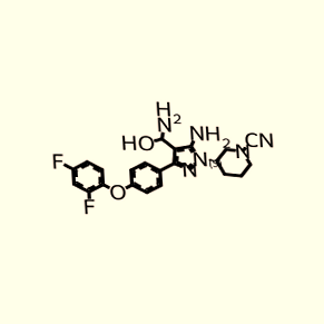 N#CN1CCC[C@H](n2nc(-c3ccc(Oc4ccc(F)cc4F)cc3)c(C(N)O)c2N)C1